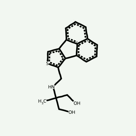 CC(CO)(CO)NCc1scc2c1-c1cccc3cccc-2c13